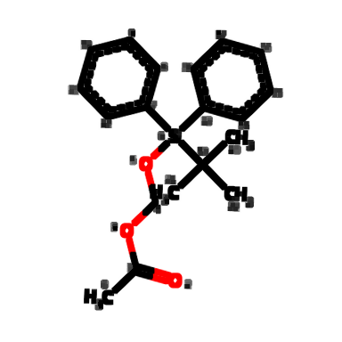 CC(=O)OCO[Si](c1ccccc1)(c1ccccc1)C(C)(C)C